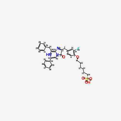 O=c1c(Cc2ccc(OCCCCCCS(=O)(=O)O)c(F)c2)nc2c(Cc3ccccc3)[nH]c(-c3ccccc3)cn1-2